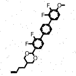 C=CCCC1COC(c2ccc(-c3ccc(-c4ccc(OC)c(F)c4F)cc3)c(F)c2F)OC1